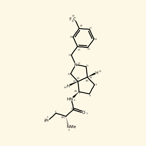 CN[C@H](CC(C)C)C(=O)N[C@@H]1CC[C@H]2CN(Cc3cccc(C(F)(F)F)c3)C[C@H]21